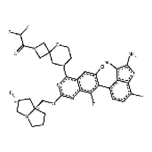 N#Cc1c(N)sc2c(F)ccc(-c3c(Cl)cc4c(N5CCOC6(CN(C(=O)C(F)Cl)C6)C5)nc(OC[C@@]56CCCN5C[C@H](F)C6)nc4c3F)c12